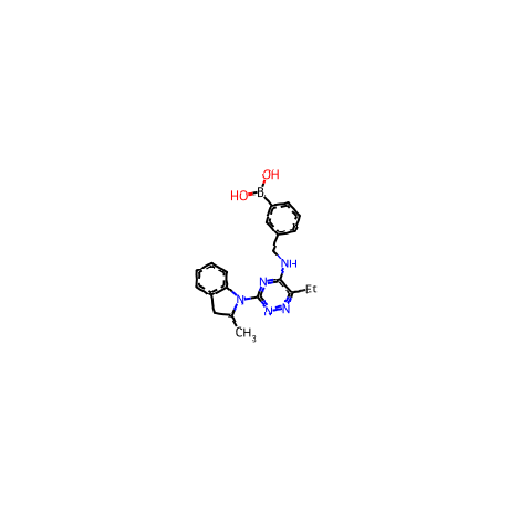 CCc1nnc(N2c3ccccc3CC2C)nc1NCc1cccc(B(O)O)c1